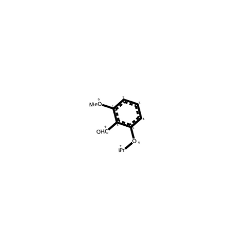 COc1cccc(OC(C)C)c1C=O